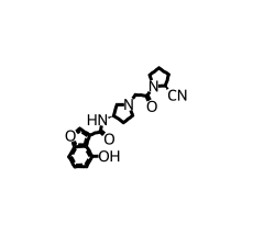 N#C[C@@H]1CCCN1C(=O)CN1CC[C@H](NC(=O)c2coc3cccc(O)c23)C1